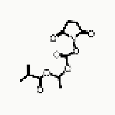 C=C(C)C(=O)OC(C)OC(=O)ON1C(=O)CCC1=O